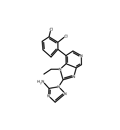 CCn1c(-n2ncnc2N)nc2cncc(-c3cccc(Cl)c3Cl)c21